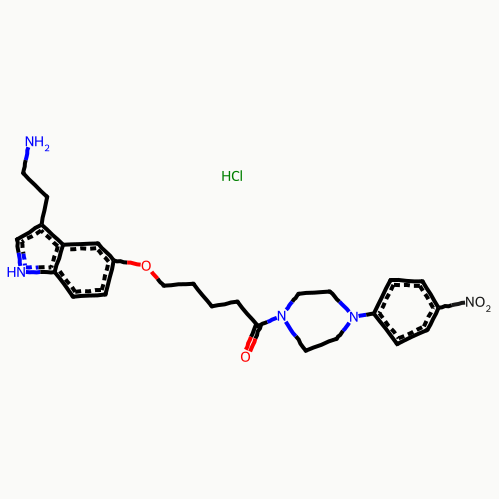 Cl.NCCc1c[nH]c2ccc(OCCCCC(=O)N3CCN(c4ccc([N+](=O)[O-])cc4)CC3)cc12